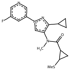 CSC1CC1C(=O)N(C)c1cn(-c2cncc(F)c2)nc1C1CC1